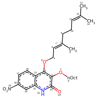 CCCCCCCCOc1c(OC/C=C(\C)CCC=C(C)C)c2ccc([N+](=O)[O-])cc2[nH]c1=O